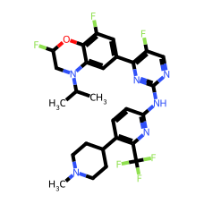 CC(C)N1CC(F)Oc2c(F)cc(-c3nc(Nc4ccc(C5CCN(C)CC5)c(C(F)(F)F)n4)ncc3F)cc21